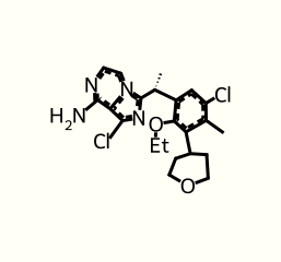 CCOc1c([C@@H](C)c2nc(Cl)c3c(N)nccn23)cc(Cl)c(C)c1C1CCOCC1